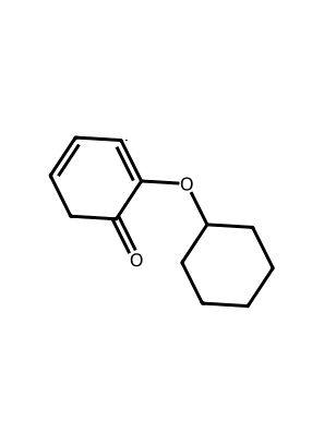 O=C1CC=C[C]=C1OC1CCCCC1